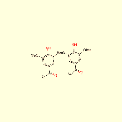 COc1cc(C(=O)C(C)=O)cc(OC)c1O.COc1cc(C(=O)C(C)=O)cc(OC)c1O